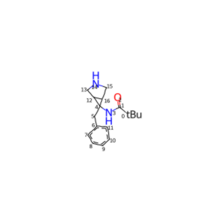 CC(C)(C)C(=O)NC1(Cc2ccccc2)C2CNCC21